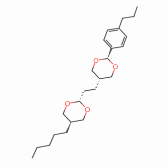 CCCCC[C@H]1CO[C@H](CC[C@H]2CO[C@H](c3ccc(CCC)cc3)OC2)OC1